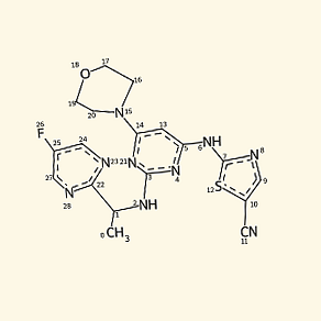 CC(Nc1nc(Nc2ncc(C#N)s2)cc(N2CCOCC2)n1)c1ncc(F)cn1